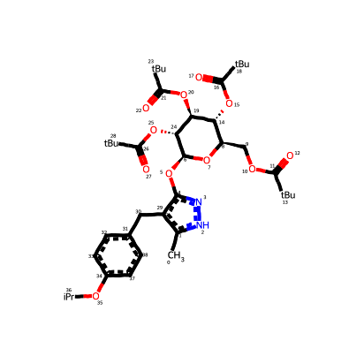 Cc1[nH]nc(O[C@@H]2O[C@H](COC(=O)C(C)(C)C)[C@@H](OC(=O)C(C)(C)C)[C@H](OC(=O)C(C)(C)C)[C@H]2OC(=O)C(C)(C)C)c1Cc1ccc(OC(C)C)cc1